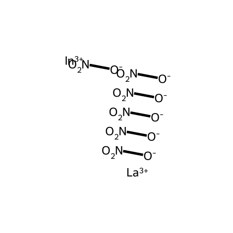 O=[N+]([O-])[O-].O=[N+]([O-])[O-].O=[N+]([O-])[O-].O=[N+]([O-])[O-].O=[N+]([O-])[O-].O=[N+]([O-])[O-].[In+3].[La+3]